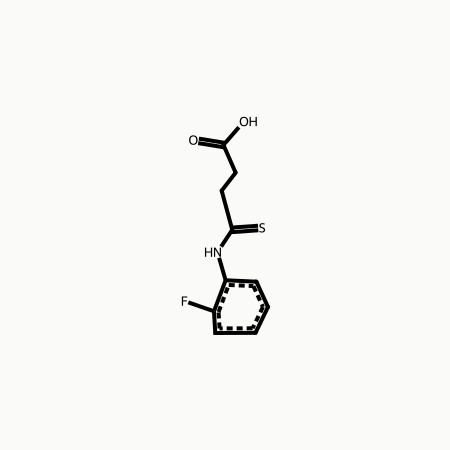 O=C(O)CCC(=S)Nc1ccccc1F